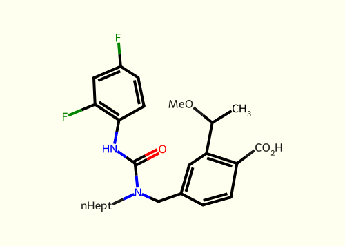 CCCCCCCN(Cc1ccc(C(=O)O)c(C(C)OC)c1)C(=O)Nc1ccc(F)cc1F